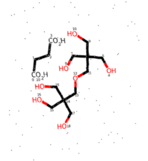 O=C(O)CCC(=O)O.OCC(CO)(CO)COCC(CO)(CO)CO